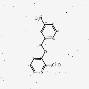 O=Cc1ncccc1OCc1cccc([N+](=O)[O-])c1